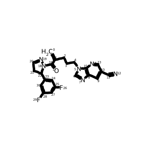 C=C(CCCn1cnc2cc(C#N)cnc21)C(=O)N1N=CCC1c1cc(F)cc(F)c1